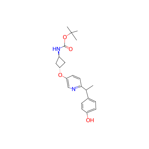 CC(c1ccc(O)cc1)c1ccc(O[C@H]2C[C@H](NC(=O)OC(C)(C)C)C2)cn1